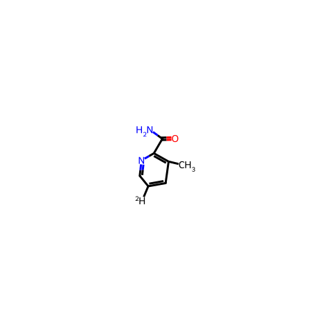 [2H]c1cnc(C(N)=O)c(C)c1